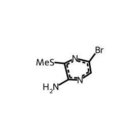 CSc1nc(Br)cnc1N